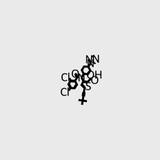 CC(C)(C)C#Cc1cc(N(C(=O)c2ccc(Cl)cc2Cl)C2CCC(n3cncn3)CC2)c(C(=O)O)s1